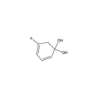 OC1(O)C=CC=C(F)C1